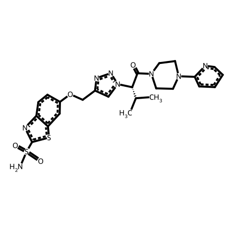 CC(C)[C@@H](C(=O)N1CCN(c2ccccn2)CC1)n1cc(COc2ccc3nc(S(N)(=O)=O)sc3c2)nn1